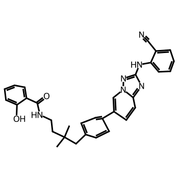 CC(C)(CCNC(=O)c1ccccc1O)Cc1ccc(-c2ccc3nc(Nc4ccccc4C#N)nn3c2)cc1